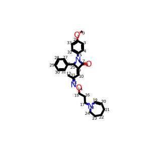 COc1ccc(N2C(=O)/C(=C/C(C)=NOCCCN3C=CCCCC3)C2c2ccccc2)cc1